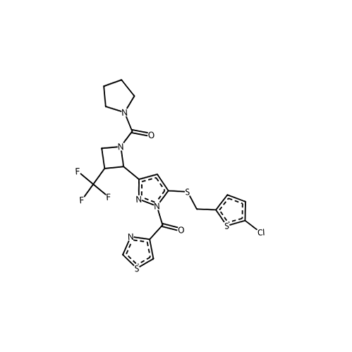 O=C(N1CCCC1)N1CC(C(F)(F)F)C1c1cc(SCc2ccc(Cl)s2)n(C(=O)c2cscn2)n1